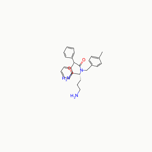 Cc1ccc(CN(C(=O)C(c2ccccc2)c2ccccc2)[C@H](CCCN)C(N)=O)cc1